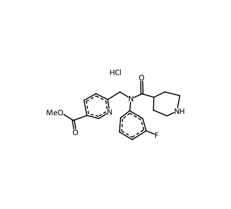 COC(=O)c1ccc(CN(C(=O)C2CCNCC2)c2cccc(F)c2)nc1.Cl